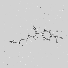 CCCOC[CH]OOC(=O)c1ccc([Si](C)(C)C)cc1